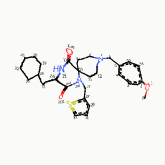 COc1ccc(CN2CCC3(CC2)C(=O)NC(CC2CCCCC2)C(=O)N3Cc2cccs2)cc1